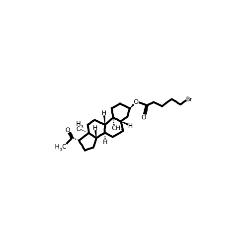 CC(=O)[C@H]1CC[C@H]2[C@@H]3CC[C@H]4C[C@H](OC(=O)CCCCBr)CC[C@]4(C)[C@H]3CC[C@]12C